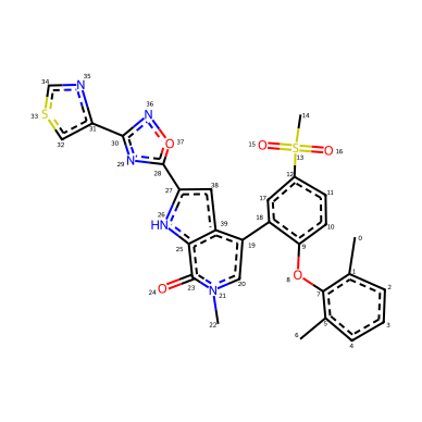 Cc1cccc(C)c1Oc1ccc(S(C)(=O)=O)cc1-c1cn(C)c(=O)c2[nH]c(-c3nc(-c4cscn4)no3)cc12